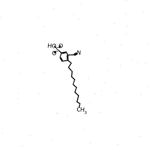 CCCCCCCCCCCCc1ccc(S(=O)(=O)O)cc1C#N